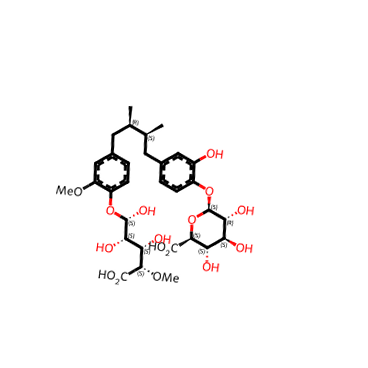 COc1cc(C[C@@H](C)[C@@H](C)Cc2ccc(O[C@@H]3O[C@H](C(=O)O)[C@@H](O)[C@H](O)[C@H]3O)c(O)c2)ccc1O[C@H](O)[C@@H](O)[C@H](O)[C@H](OC)C(=O)O